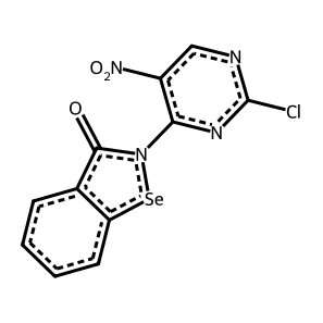 O=c1c2ccccc2[se]n1-c1nc(Cl)ncc1[N+](=O)[O-]